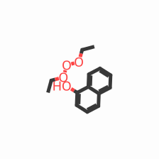 CCOOOCC.Oc1cccc2ccccc12